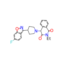 CCN1C(=O)c2ccccc2C(N2CCC(c3noc4cc(F)ccc34)CC2)C1=O